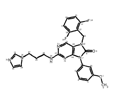 COc1cccc(-n2c(=O)n(Cc3c(F)cccc3F)c3cnc(NCCCn4ccnc4)nc32)c1